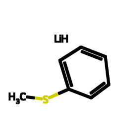 CSc1ccccc1.[LiH]